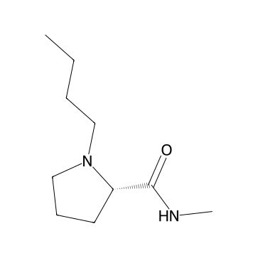 CCCCN1CCC[C@H]1C(=O)NC